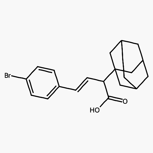 O=C(O)C(/C=C/c1ccc(Br)cc1)C12CC3CC(CC(C3)C1)C2